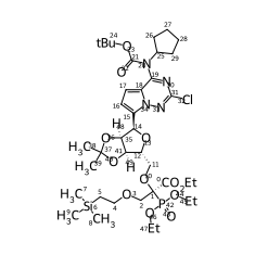 CCOC(=O)[C@](COCC[Si](C)(C)C)(OC[C@H]1O[C@H](c2ccc3c(N(C(=O)OC(C)(C)C)C4CCCC4)nc(Cl)nn23)[C@@H]2OC(C)(C)O[C@@H]21)P(=O)(OCC)OCC